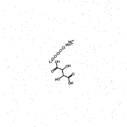 O=C(O)C(O)C(O)C(=O)O.[Cl-].[Cl-].[Cl-].[Cl-].[Cl-].[Li+].[Mn+2].[Ni+2]